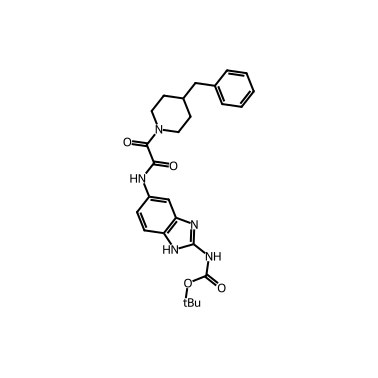 CC(C)(C)OC(=O)Nc1nc2cc(NC(=O)C(=O)N3CCC(Cc4ccccc4)CC3)ccc2[nH]1